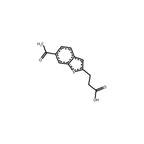 CC(=O)c1ccc2cc(CCC(=O)O)sc2c1